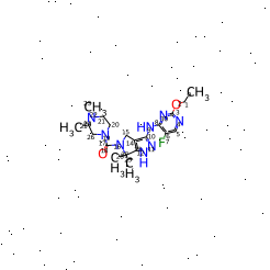 CCOc1ncc(F)c(Nc2n[nH]c3c2CN(C(=O)N2CCN(C)[C@@H](C)C2)C3(C)C)n1